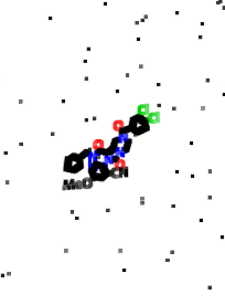 COc1ccc(-n2c(C(=O)NCc3ccccc3)c3n(c2=O)CCN(C(=O)c2ccc(Cl)c(Cl)c2)C3)c(C#N)c1